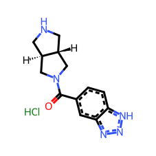 Cl.O=C(c1ccc2[nH]nnc2c1)N1C[C@H]2CNC[C@@H]2C1